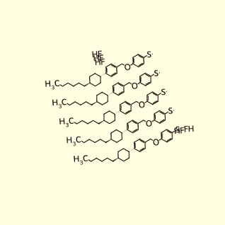 CCCCCC[C@H]1CC[C@H](c2ccc(COc3ccc([S])cc3)cc2)CC1.CCCCCC[C@H]1CC[C@H](c2ccc(COc3ccc([S])cc3)cc2)CC1.CCCCCC[C@H]1CC[C@H](c2ccc(COc3ccc([S])cc3)cc2)CC1.CCCCCC[C@H]1CC[C@H](c2ccc(COc3ccc([S])cc3)cc2)CC1.CCCCCC[C@H]1CC[C@H](c2ccc(COc3ccc([S])cc3)cc2)CC1.F.F.F.F.F